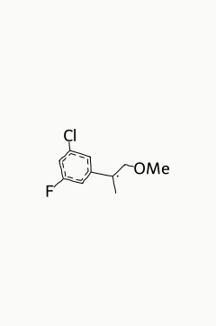 COC[C](C)c1cc(F)cc(Cl)c1